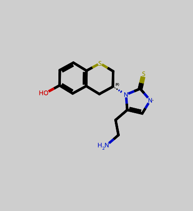 NCCC1=C[N]C(=S)N1[C@H]1CSc2ccc(O)cc2C1